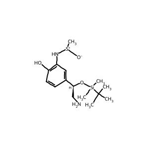 C[S+]([O-])Nc1cc([C@H](CN)O[Si](C)(C)C(C)(C)C)ccc1O